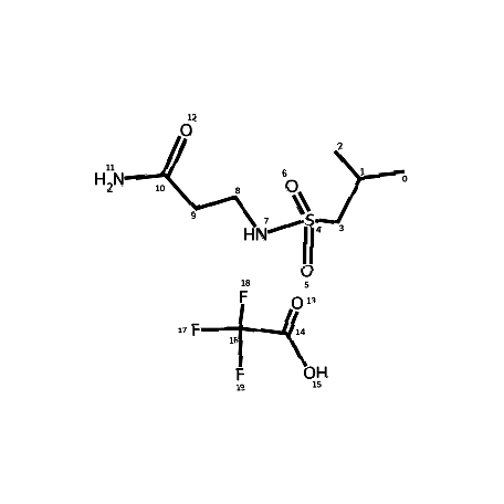 CC(C)CS(=O)(=O)NCCC(N)=O.O=C(O)C(F)(F)F